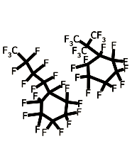 FC(F)(F)C(C(F)(F)F)(C(F)(F)F)C1(F)C(F)(F)C(F)(F)C(F)(F)C(F)(F)C1(F)F.FC(F)(F)C(F)(F)C(F)(F)C(F)(F)C1(F)C(F)(F)C(F)(F)C(F)(F)C(F)(F)C1(F)F